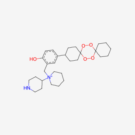 Oc1ccc(C2CCC3(CC2)OOC2(CCCCC2)OO3)cc1C[N+]1(C2CCNCC2)CCCCC1